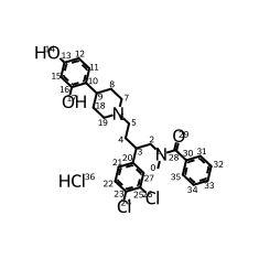 CN(CC(CCN1CCC(c2ccc(O)cc2O)CC1)c1ccc(Cl)c(Cl)c1)C(=O)c1ccccc1.Cl